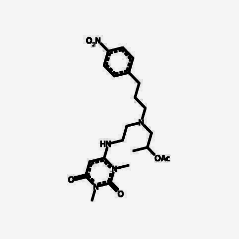 CC(=O)OC(C)CN(CCCc1ccc([N+](=O)[O-])cc1)CCNc1cc(=O)n(C)c(=O)n1C